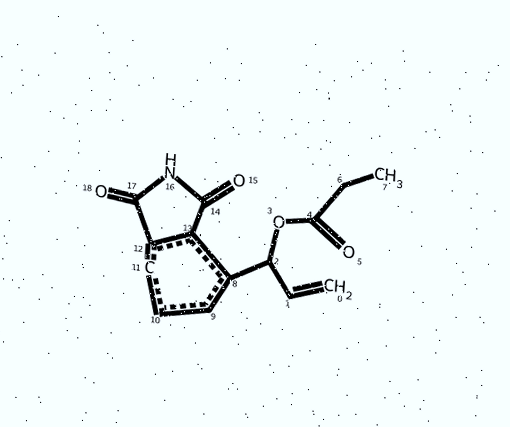 C=CC(OC(=O)CC)c1cccc2c1C(=O)NC2=O